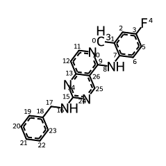 Cc1cc(F)ccc1Nc1nccc2nc(NCc3ccccc3)ncc12